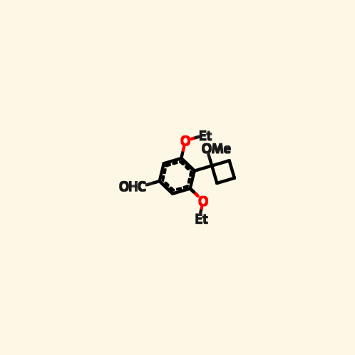 CCOc1cc(C=O)cc(OCC)c1C1(OC)CCC1